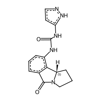 O=C(Nc1ccn[nH]1)Nc1cccc2c1[C@@H]1CCCN1C2=O